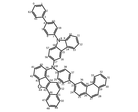 c1ccc(-c2ccc(-n3c4ccccc4c4cc(N(c5ccc(-c6ccc7ccc8ccccc8c7c6)cc5)c5cccc6oc7c8ccccc8ccc7c56)ccc43)cc2)cc1